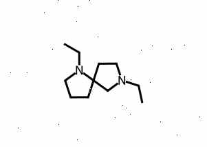 CCN1CCC2(CCCN2CC)C1